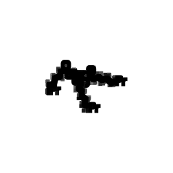 CC(C)CCCCCC(=O)OCC(COC(=O)CCCCCC(C)C)OC(=O)CCCCCC(C)C